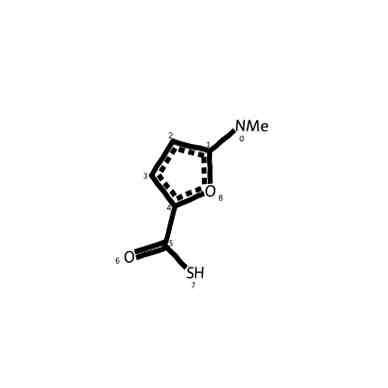 CNc1ccc(C(=O)S)o1